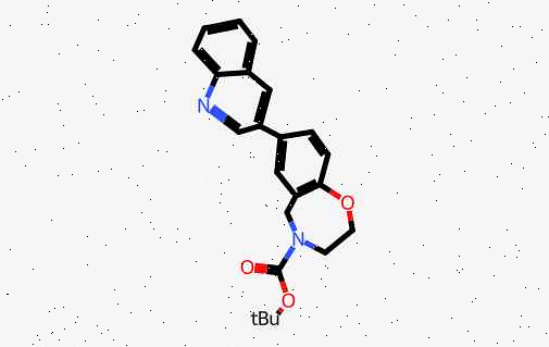 CC(C)(C)OC(=O)N1CCOc2ccc(-c3cnc4ccccc4c3)cc2C1